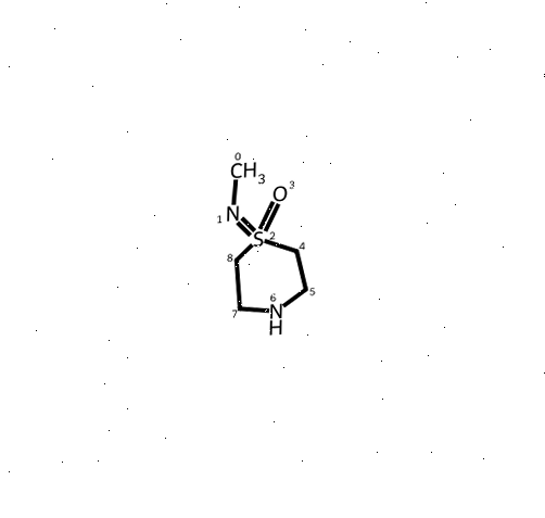 CN=S1(=O)CCNCC1